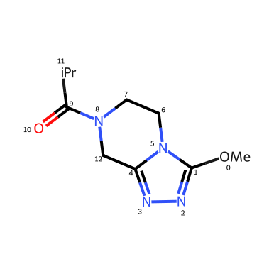 COc1nnc2n1CCN(C(=O)C(C)C)C2